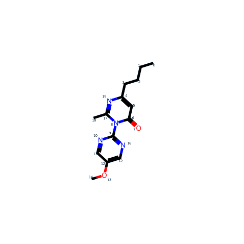 CCCCc1cc(=O)n(-c2ncc(OC)cn2)c(C)n1